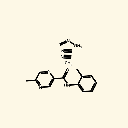 C.C#N.C#N.C=NN.Cc1cnc(C(=O)Nc2ccccc2C)cn1